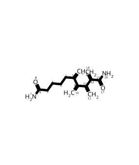 C=C(CCCCC(N)=O)C(=C)C(=C)C(=C)C(N)=O